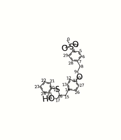 CS(=O)(=O)c1ccc(CCOc2ccc(CC(CO)Sc3ccccc3)cc2)cc1